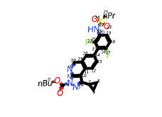 CCCCOC(=O)n1nc(C2CC2)c2c3ccc(-c4c(F)ccc(NS(=O)(=O)CCC)c4F)cc3cnc21